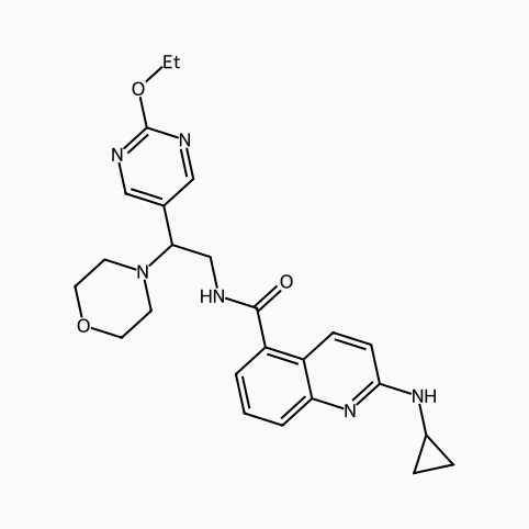 CCOc1ncc(C(CNC(=O)c2cccc3nc(NC4CC4)ccc23)N2CCOCC2)cn1